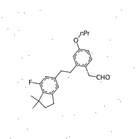 CCCOc1ccc(CC=O)c(CCc2cc(F)c3c(c2)CCC3(C)C)c1